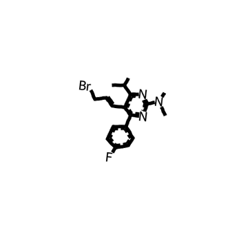 CC(C)c1nc(N(C)C)nc(-c2ccc(F)cc2)c1/C=C/CBr